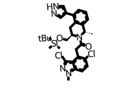 C[C@H]1c2cccc(-c3cn[nH]c3)c2C[C@H](CO[Si](C)(C)C(C)(C)C)N1C(=O)Cc1c(Cl)ccc2c1c(Cl)nn2C